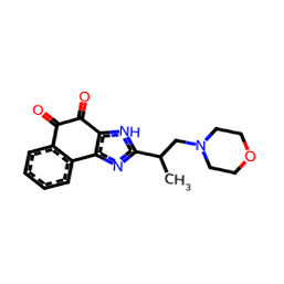 CC(CN1CCOCC1)c1nc2c([nH]1)C(=O)C(=O)c1ccccc1-2